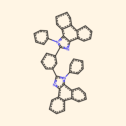 c1ccc(-n2c(-c3cccc(-c4nc5c6ccccc6c6ccccc6c5n4-c4ccccc4)c3)nc3c4ccccc4c4ccccc4c32)cc1